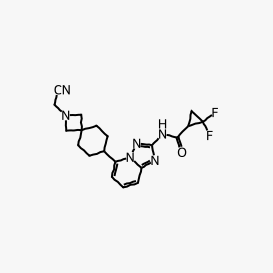 N#CCN1CC2(CCC(c3cccc4nc(NC(=O)C5CC5(F)F)nn34)CC2)C1